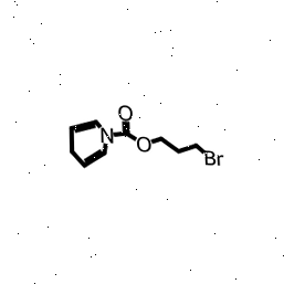 O=C(OCCCBr)N1C=CCC=C1